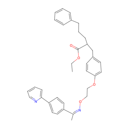 CCOC(=O)C(CCCc1ccccc1)Cc1ccc(OCCON=C(C)c2ccc(-c3ccccn3)cc2)cc1